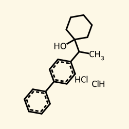 CC(c1ccc(-c2ccccc2)cc1)C1(O)CCCCC1.Cl.Cl